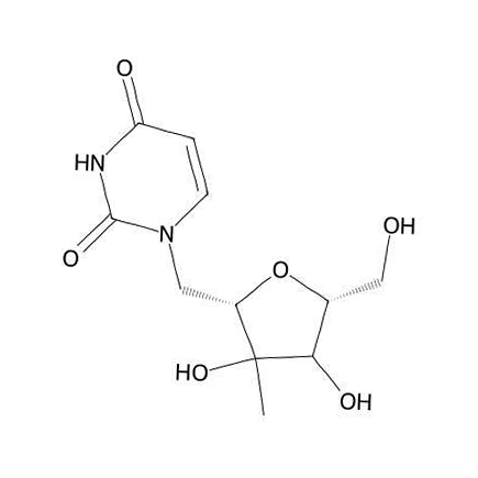 CC1(O)C(O)[C@@H](CO)O[C@H]1Cn1ccc(=O)[nH]c1=O